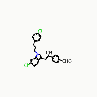 N#C/C(=C\c1cn(CCCc2ccc(Cl)cc2)c2cc(Cl)ccc12)c1ccc(C=O)cc1